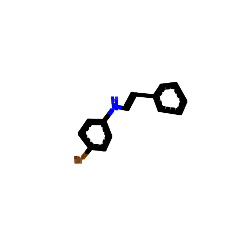 Brc1ccc(NC=Cc2ccccc2)cc1